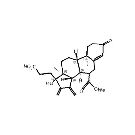 C=C1C(=C)[C@](O)(CCC(=O)O)[C@@]2(C)CC[C@H]3[C@@H](C(C(=O)OC)CC4=CC(=O)CC[C@@]43C)[C@H]12